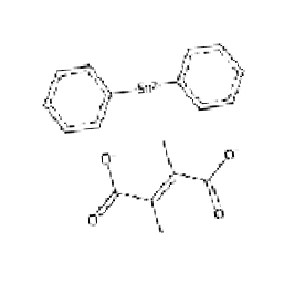 CC(C(=O)[O-])=C(C)C(=O)[O-].c1cc[c]([Sn+2][c]2ccccc2)cc1